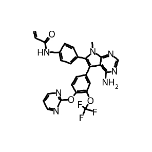 C=CC(=O)Nc1ccc(-c2c(-c3ccc(Oc4ncccn4)c(OC(F)(F)F)c3)c3c(N)ncnc3n2C)cc1